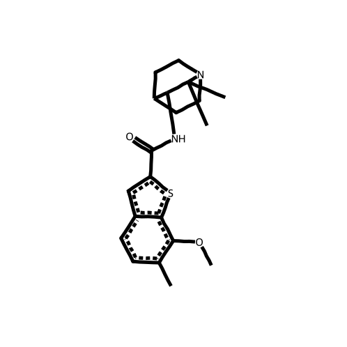 COc1c(C)ccc2cc(C(=O)NC3C4CCN(CC4)C3(C)C)sc12